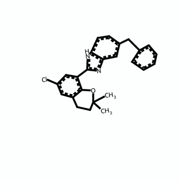 CC1(C)CCc2cc(Cl)cc(-c3nc4cc(Cc5ccccc5)ccc4[nH]3)c2O1